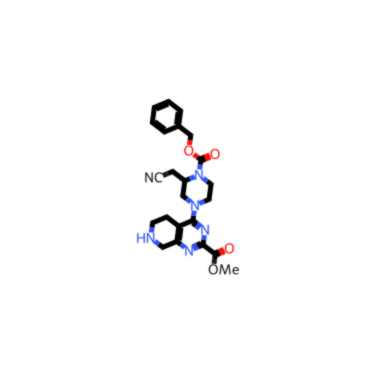 COC(=O)c1nc2c(c(N3CCN(C(=O)OCc4ccccc4)C(CC#N)C3)n1)CCNC2